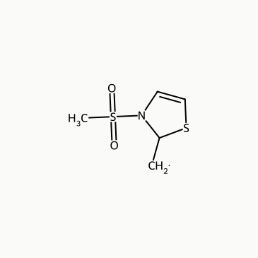 [CH2]C1SC=CN1S(C)(=O)=O